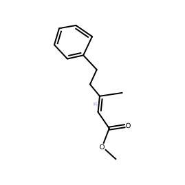 COC(=O)/C=C(\C)CCc1ccccc1